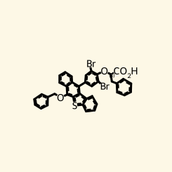 O=C(O)[C@@H](Cc1ccccc1)Oc1c(Br)cc(-c2c3ccccc3c(OCc3ccccc3)c3sc4ccccc4c23)cc1Br